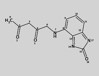 CC(=O)CC(=O)CNc1cccc2c1=NC(=O)N=2